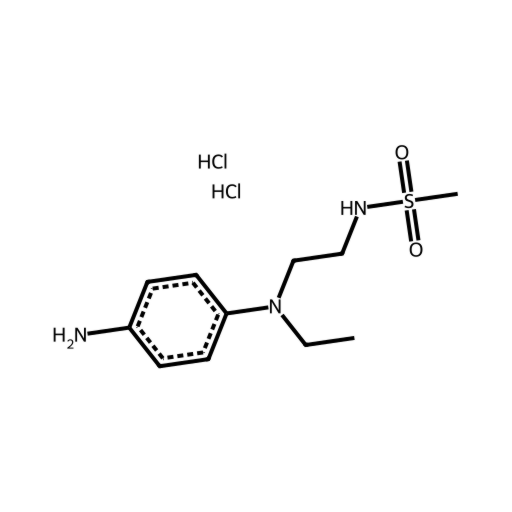 CCN(CCNS(C)(=O)=O)c1ccc(N)cc1.Cl.Cl